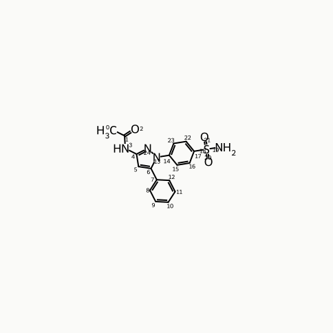 CC(=O)Nc1cc(-c2ccccc2)n(-c2ccc(S(N)(=O)=O)cc2)n1